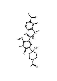 C=Nc1c(/C(=N\C)N[C@H](C)c2nccc(C(F)F)c2F)cc(C2(O)CCN(C(C)=O)CC2)c(=O)n1C